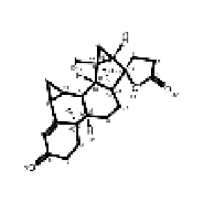 C[C@]12CCC(=O)C=C1C1CC1C1[C@@H]3[C@@H]4C[C@@H]4[C@@]4(CCC(=O)O4)[C@@]3(C)CC[C@@H]12